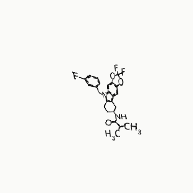 CC(C)C(=O)NC1CCc2c(c3cc4c(cc3n2Cc2cccc(F)c2)OC(F)(F)O4)C1